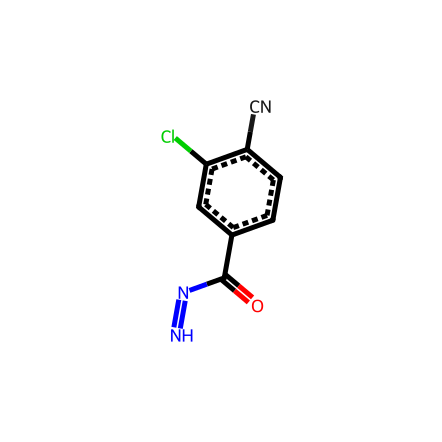 N#Cc1ccc(C(=O)N=N)cc1Cl